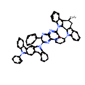 CC1Cc2c(n(-c3ccccc3)c3ccccc23)-c2c1c1ccccc1n2-c1cnc2nc(-n3c4ccccc4c4cc5c(cc43)c3ccccc3n5-c3ccccc3)c(-c3ccccc3)nc2n1